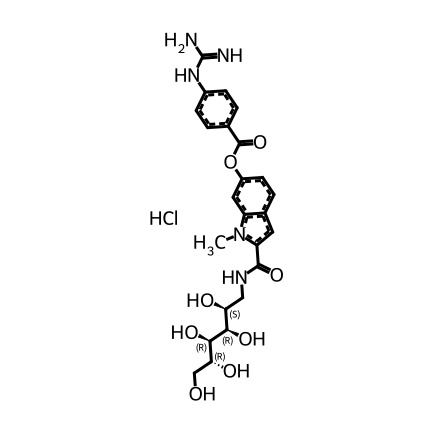 Cl.Cn1c(C(=O)NC[C@H](O)[C@@H](O)[C@H](O)[C@H](O)CO)cc2ccc(OC(=O)c3ccc(NC(=N)N)cc3)cc21